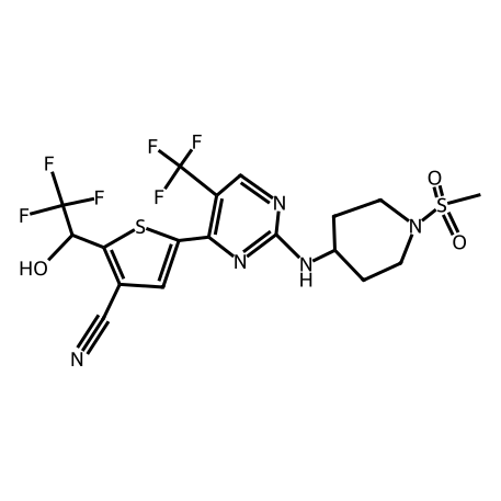 CS(=O)(=O)N1CCC(Nc2ncc(C(F)(F)F)c(-c3cc(C#N)c(C(O)C(F)(F)F)s3)n2)CC1